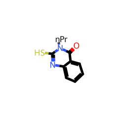 CCCn1c(S)nc2ccccc2c1=O